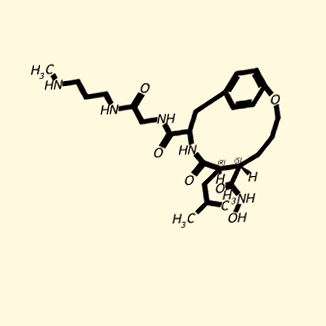 CNCCCNC(=O)CNC(=O)C1Cc2ccc(cc2)OCCC[C@H](C(=O)NO)[C@@H](CC(C)C)C(=O)N1